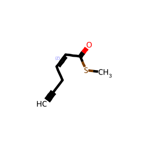 C#CC/C=C\C(=O)SC